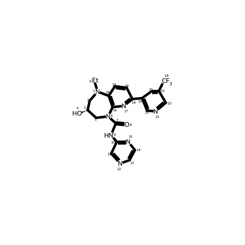 CCN1C[C@@H](O)CN(C(=O)Nc2cnccn2)c2nc(-c3cncc(C(F)(F)F)c3)ccc21